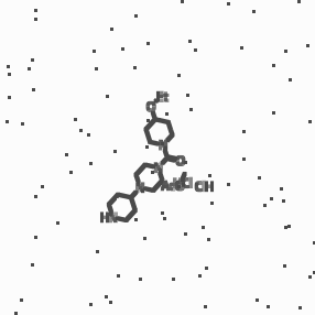 CCOC1CCN(C(=O)N2CCN(C3CCNCC3)CC2)CC1.COC(C)=O.Cl.Cl